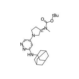 CN(C(=O)OC(C)(C)C)[C@@H]1CCN(c2cnnc(NC34CC5CC(CC(C5)C3)C4)c2)C1